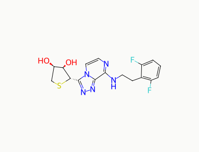 O[C@@H]1[C@H](O)CS[C@H]1c1nnc2c(NCCc3c(F)cccc3F)nccn12